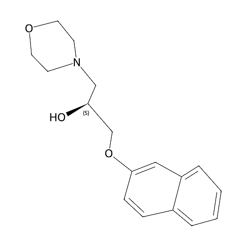 O[C@H](COc1ccc2ccccc2c1)CN1CCOCC1